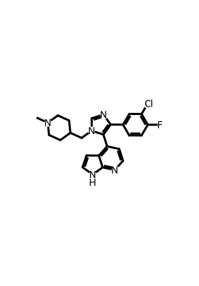 CN1CCC(Cn2cnc(-c3ccc(F)c(Cl)c3)c2-c2ccnc3[nH]ccc23)CC1